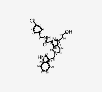 O=C(NCc1ccc(Cl)cc1)c1nn(CCO)c2c1CN(Cc1c[nH]c3ccccc13)CC2